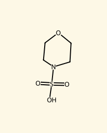 O=S(=O)(O)N1CCOCC1